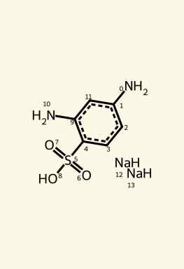 Nc1ccc(S(=O)(=O)O)c(N)c1.[NaH].[NaH]